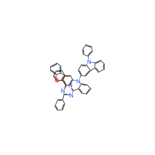 c1ccc(-c2nc(-c3ccccc3)nc(-c3ccccc3N(c3ccc4oc5ccccc5c4c3)c3ccc4c(c3)c3ccccc3n4-c3ccccc3)n2)cc1